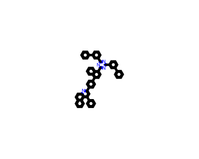 c1ccc(-c2cccc(-c3nc(-c4cccc(-c5ccccc5)c4)nc(-c4ccc(-c5ccc(-c6cc(-c7ccccc7)c7c(ccc8ccccc87)n6)cc5)c5ccccc45)n3)c2)cc1